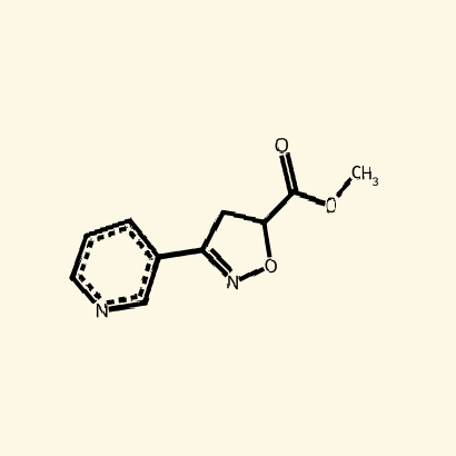 COC(=O)C1CC(c2cccnc2)=NO1